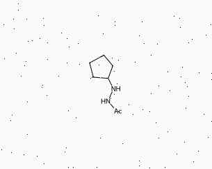 CC(=O)NNC1CCCC1